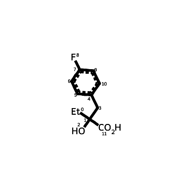 CCC(O)(Cc1ccc(F)cc1)C(=O)O